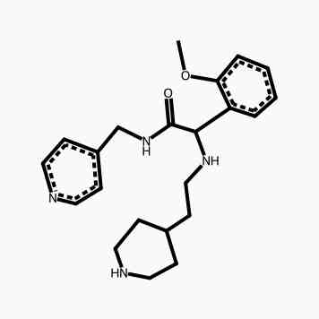 COc1ccccc1C(NCCC1CCNCC1)C(=O)NCc1ccncc1